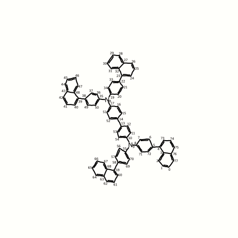 c1ccc2c(-c3ccc(N(c4ccc(-c5ccc(N(c6ccc(-c7cccc8ccccc78)cc6)c6ccc(-c7cccc8ccccc78)cc6)cc5)cc4)c4ccc(-c5cccc6ccccc56)cc4)cc3)cccc2c1